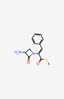 CSC(=O)C(=Cc1ccccc1)N1CC(N)C1=O